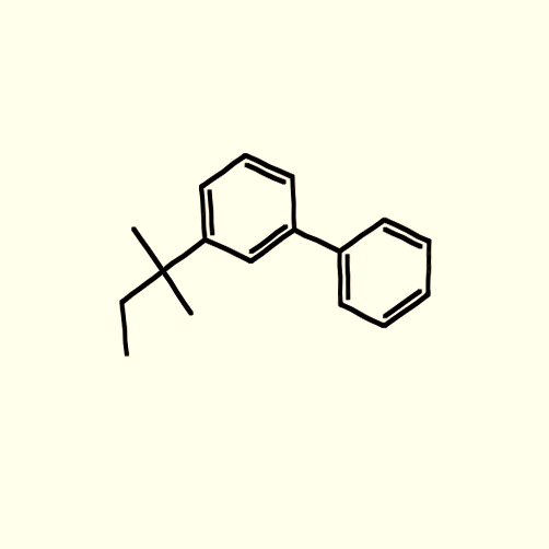 CCC(C)(C)c1cccc(-c2ccccc2)c1